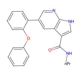 CCCNC(=O)c1c[nH]c2ncc(-c3ccccc3Oc3ccccc3)cc12